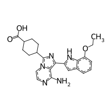 CCOc1cccc2cc(-c3nc(C4CCC(C(=O)O)CC4)n4ccnc(N)c34)[nH]c12